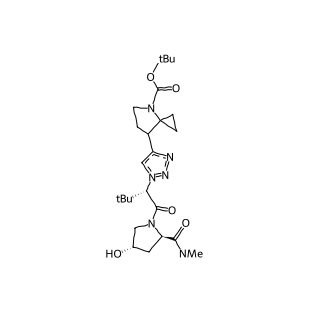 CNC(=O)[C@H]1C[C@H](O)CN1C(=O)[C@@H](n1cc(C2CCN(C(=O)OC(C)(C)C)C23CC3)nn1)C(C)(C)C